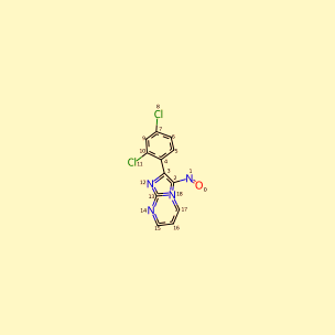 O=Nc1c(-c2ccc(Cl)cc2Cl)nc2ncccn12